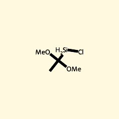 COC(C)(OC)[SiH2]Cl